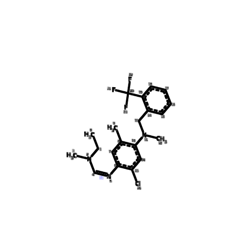 CCN(C)/C=N\c1cc(C)c(N(C)Cc2ccccc2C(F)(F)F)cc1Cl